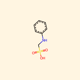 O=S(=O)(O)CNc1ccccc1